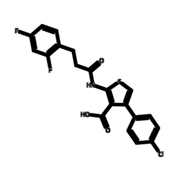 O=C(CCc1ccc(F)cc1F)Nc1scc(-c2ccc(Cl)cc2)c1C(=O)O